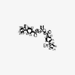 [CH2]C[C](OOC(=O)c1ccc([Si](C=C)(C=C)CC)cc1)OOC(=O)c1ccc([Si](C=C)(C=C)CC)cc1